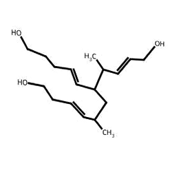 CC(C=CCCO)C[C](C=CCCCO)C(C)C=CCO